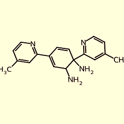 Cc1ccnc(C2=CC(N)C(N)(c3cc(C)ccn3)C=C2)c1